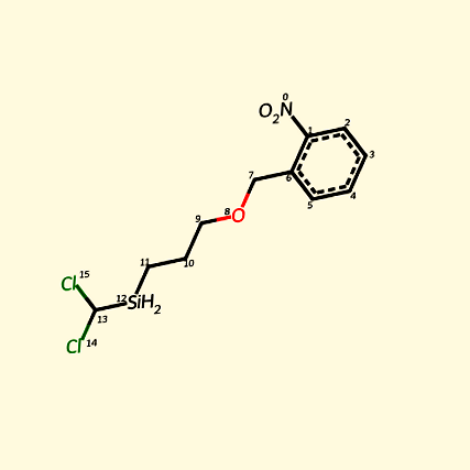 O=[N+]([O-])c1ccccc1COCCC[SiH2]C(Cl)Cl